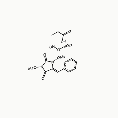 CCC(=O)O.CCCCCCCCON=O.CON1C(=O)C(=Cc2ccccc2)N(OC)C1=O